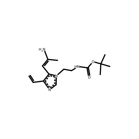 C=Cc1ncn(CCNC(=O)OC(C)(C)C)c1/C=C(\C)N